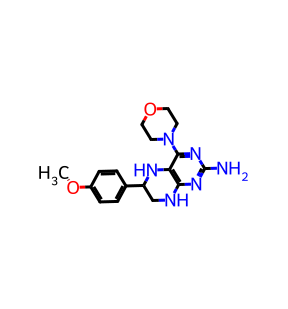 COc1ccc(C2CNc3nc(N)nc(N4CCOCC4)c3N2)cc1